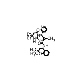 CCC1(CC)CC(=O)N([C@@H](c2cccnc2)C2C(C)[C@H]2C(=O)N[C@H]2CC(C)(C)Oc3ccccc32)C(=N)N1